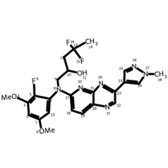 COc1cc(OC)c(F)c(N(CC(O)CC(C)(F)F)c2ccc3ncc(-c4cnn(C)c4)nc3n2)c1